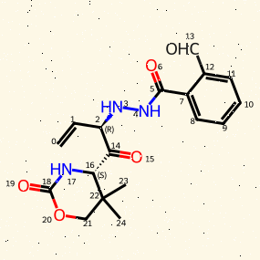 C=C[C@@H](NNC(=O)c1ccccc1C=O)C(=O)[C@H]1NC(=O)OCC1(C)C